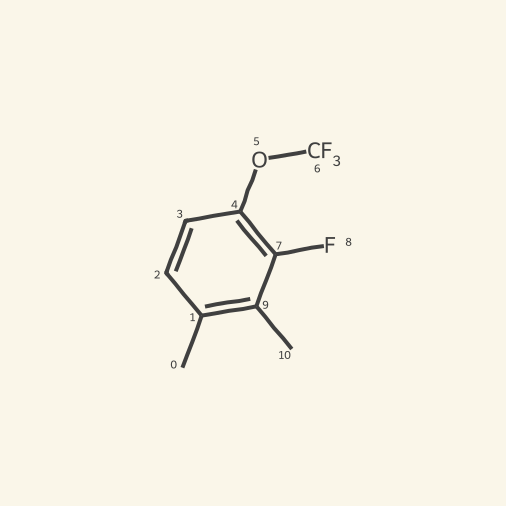 Cc1ccc(OC(F)(F)F)c(F)c1C